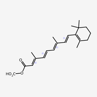 CC1=C(/C=C/C(C)=C/C=C/C(C)=C/C(=O)OC(=O)O)C(C)(C)CCC1